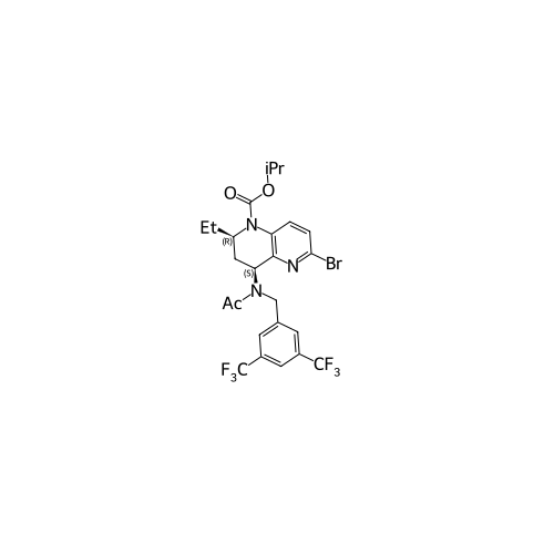 CC[C@@H]1C[C@H](N(Cc2cc(C(F)(F)F)cc(C(F)(F)F)c2)C(C)=O)c2nc(Br)ccc2N1C(=O)OC(C)C